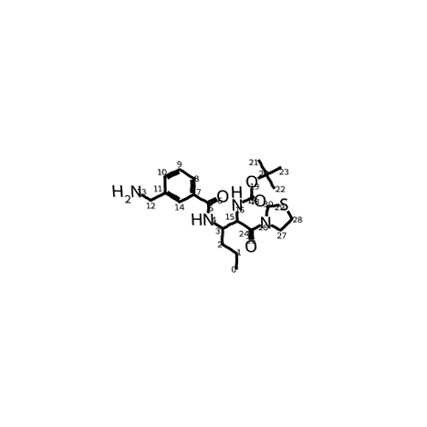 CCCC(NC(=O)c1cccc(CN)c1)C(NC(=O)OC(C)(C)C)C(=O)N1CCSC1